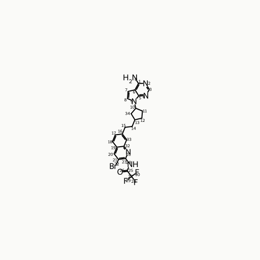 Nc1ncnc2c1ccn2C1CCC(CCc2ccc3cc(Br)c(NC(=O)C(F)(F)F)nc3c2)C1